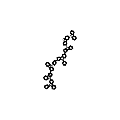 c1ccc(-n2c3ccc(-c4ccc5c(c4)c4ccccc4n5-c4ccc5oc6ccc(-n7c8ccccc8c8ccccc87)cc6c5c4)cc3c3ccc(-c4ccc(-n5c6ccccc6c6cc(-c7ccc8c(c7)c7ccccc7n8-c7ccc8c9ccccc9n(-c9ccccc9)c8c7)ccc65)cc4)cc32)cc1